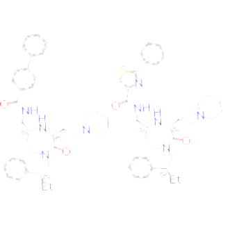 CC[C@H](CN1CC[C@@H](CNC(=O)c2ccc(-c3ccccc3)cc2)N[C@@H](CCN2CCCCC2)C1=O)c1ccccc1.CC[C@H](CN1CC[C@@H](CNC(=O)c2csc(-c3ccccc3)n2)N[C@@H](CCN2CCCCC2)C1=O)c1ccccc1